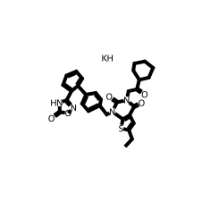 CCc1cc2c(=O)n(CC(=O)C3CCCCC3)c(=O)n(Cc3ccc(-c4ccccc4-c4noc(=O)[nH]4)cc3)c2s1.[KH]